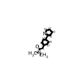 CN(C)C(=O)Cc1ccc(-c2ccccn2)cc1